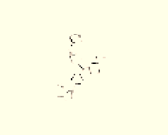 CC(C)N(C(=O)c1ccc(C(=C2CCN(Cc3ccco3)CC2)c2cccc(O)c2)cc1)C(C)C